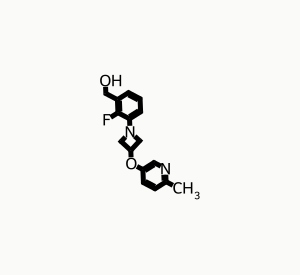 Cc1ccc(OC2CN(c3cccc(CO)c3F)C2)cn1